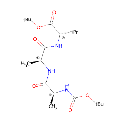 CC(C)[C@H](NC(=O)[C@H](C)NC(=O)[C@H](C)NC(=O)OC(C)(C)C)C(=O)OC(C)(C)C